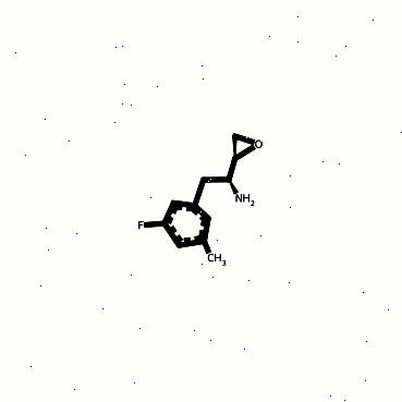 Cc1cc(F)cc(C[C@H](N)[C@H]2CO2)c1